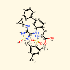 Cc1cc(C)c(S(=O)(=O)N[C@@H](Cc2ccc(-c3ccccc3)cc2Nc2n[s+]([O-])nc2NC2CC2)C(=O)O)c(C)c1